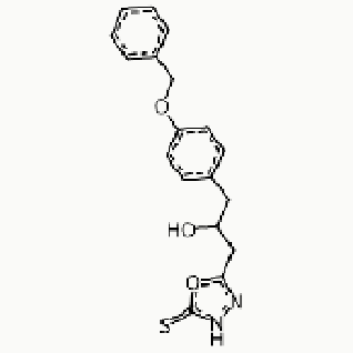 OC(Cc1ccc(OCc2ccccc2)cc1)Cc1n[nH]c(=S)o1